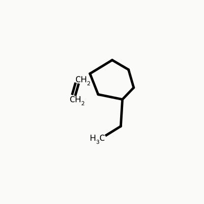 C=C.CCC1CCCCC1